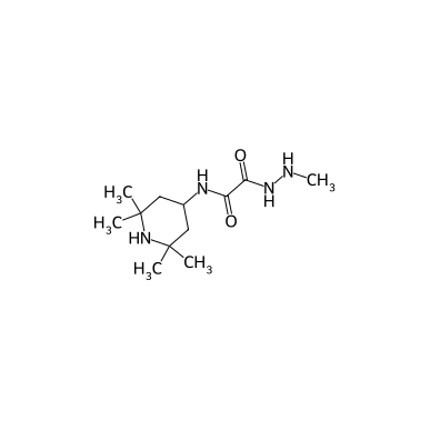 CNNC(=O)C(=O)NC1CC(C)(C)NC(C)(C)C1